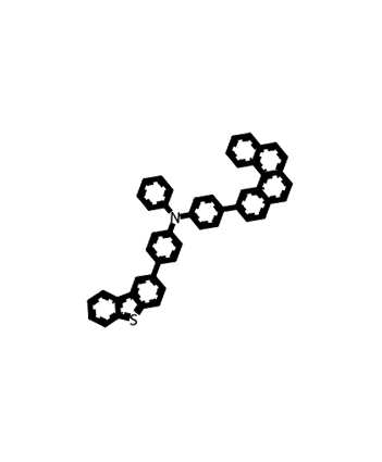 c1ccc(N(c2ccc(-c3ccc4sc5ccccc5c4c3)cc2)c2ccc(-c3ccc4ccc5ccc6ccccc6c5c4c3)cc2)cc1